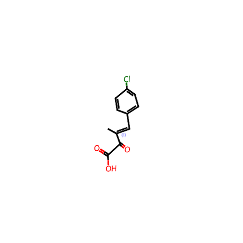 C/C(=C\c1ccc(Cl)cc1)C(=O)C(=O)O